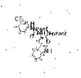 CCCCCN(CCCCC)C(=O)[C@@H](Cc1c[nH]c2ccccc12)NC(=O)Nc1cccc(Cl)c1